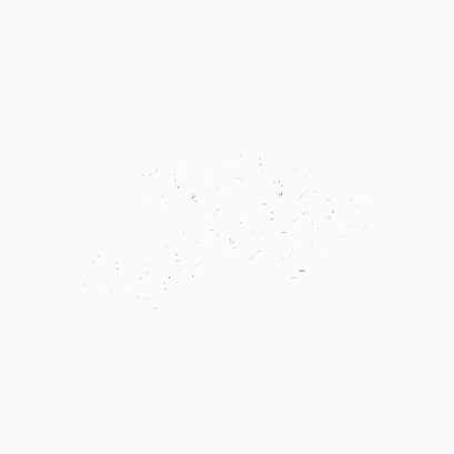 c1ccc(-c2cccc(-c3ccc(N(c4cc(-c5ccccc5)cc(-c5ccccc5)c4)c4cccc(-c5cc6ccccc6c6c5c5ccccc5n6-c5ccccc5)c4)cc3)c2)cc1